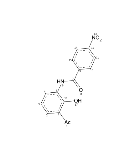 CC(=O)c1cccc(NC(=O)c2ccc([N+](=O)[O-])cc2)c1O